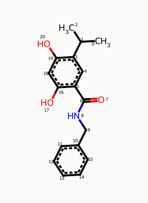 CC(C)c1cc(C(=O)NCc2ccccc2)c(O)cc1O